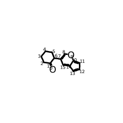 O=C1CCCCC1c1coc2cccc-2c1